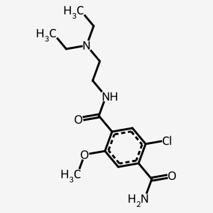 CCN(CC)CCNC(=O)c1cc(Cl)c(C(N)=O)cc1OC